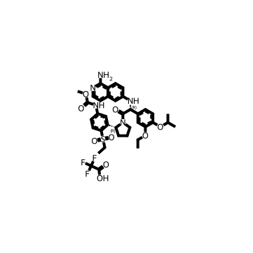 CCOc1cc([C@@H](Nc2ccc3c(N)nccc3c2)C(=O)N2CCC[C@@H]2c2cc(NC(=O)OC)ccc2S(=O)(=O)CC)ccc1OC(C)C.O=C(O)C(F)(F)F